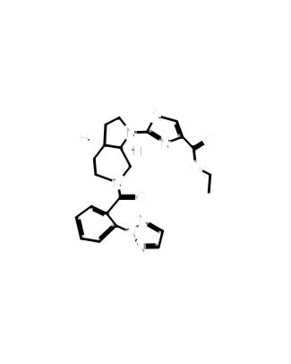 CCOC(=O)c1csc(N2CC[C@@H]3CCN(C(=O)c4ccccc4-n4nccn4)C[C@@H]32)n1